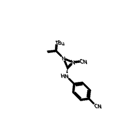 CC(N1[C@@H](Nc2ccc(C#N)cc2)N1C#N)C(C)(C)C